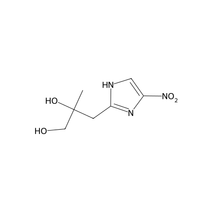 CC(O)(CO)Cc1nc([N+](=O)[O-])c[nH]1